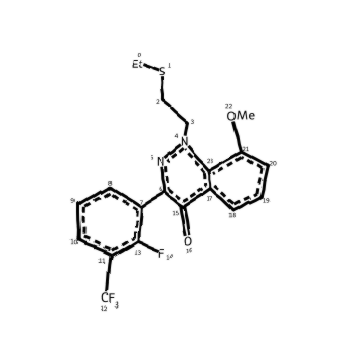 CCSCCn1nc(-c2cccc(C(F)(F)F)c2F)c(=O)c2cccc(OC)c21